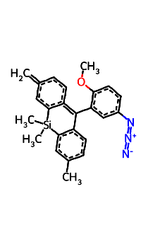 C=c1ccc2c(c1)[Si](C)(C)c1cc(C)ccc1C=2c1cc(N=[N+]=[N-])ccc1OC